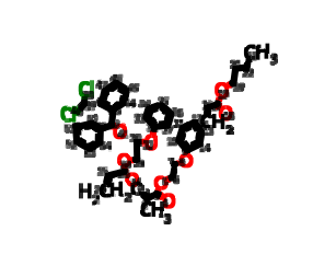 C=C(C)C(=O)OCCOc1ccccc1.C=CC(=O)OCCCC.C=CC(=O)OCCOc1ccccc1.ClCCl.O=C(c1ccccc1)c1ccccc1